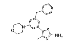 Cc1nc(N)sc1-c1cc(Cc2ccccc2)cc(N2CCOCC2)c1